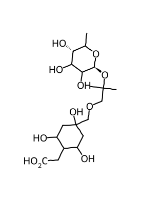 CC1O[C@@H](OC(C)(C)COCC2(O)CC(O)C(CC(=O)O)C(O)C2)C(O)C(O)[C@@H]1O